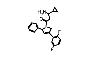 NC(CC(=O)N1CC(c2cc(F)ccc2F)=CC1c1ccccc1)C1CC1